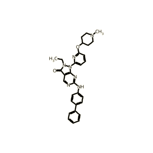 CCn1c(=O)c2cnc(Nc3ccc(-c4ccccc4)cc3)nc2n1-c1cccc(OC2CCN(C)CC2)n1